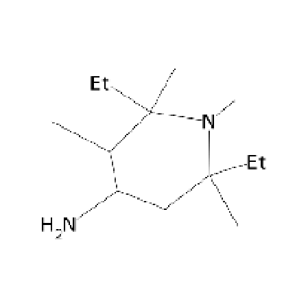 CCC1(C)CC(N)C(C)C(C)(CC)N1C